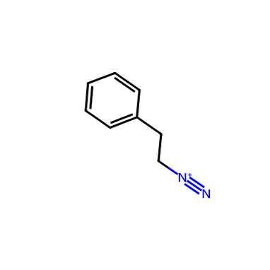 N#[N+]CCc1ccccc1